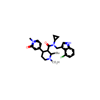 Cn1ccc(C2CCN(C(=O)O)C(C(C)(C)C)C2C(=O)N(Cc2c[nH]c3cccc(F)c23)C2CC2)cc1=O